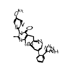 CCCCc1nc(C)n(-c2ncc(OCC)cn2)c(=O)c1Cc1ccc(-c2ccccc2-c2nnn[nH]2)cn1